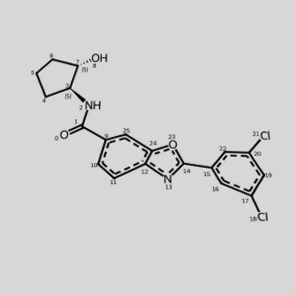 O=C(N[C@H]1CCC[C@@H]1O)c1ccc2nc(-c3cc(Cl)cc(Cl)c3)oc2c1